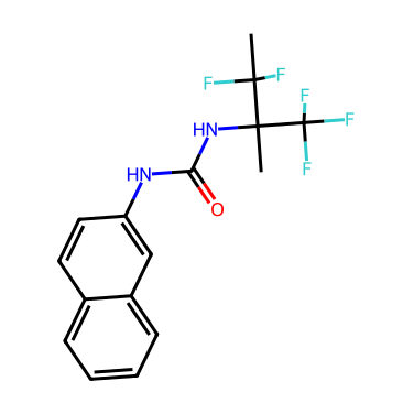 CC(F)(F)C(C)(NC(=O)Nc1ccc2ccccc2c1)C(F)(F)F